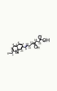 CCc1ccc2ccc(/C=C/CC[C@@H](CCC(=O)O)OC)cc2n1